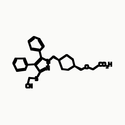 N#CCSc1nn(C[C@H]2CC[C@@H](COCC(=O)O)CC2)c(-c2ccccc2)c1-c1ccccc1